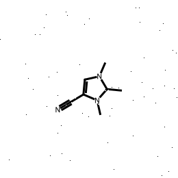 CC1N(C)C=C(C#N)N1C